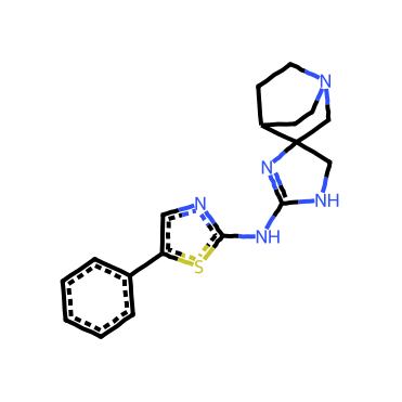 c1ccc(-c2cnc(NC3=NC4(CN3)CN3CCC4CC3)s2)cc1